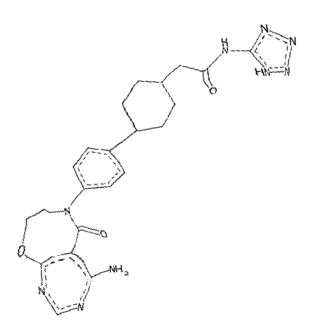 Nc1ncnc2c1C(=O)N(c1ccc(C3CCC(CC(=O)Nc4nnn[nH]4)CC3)cc1)CCO2